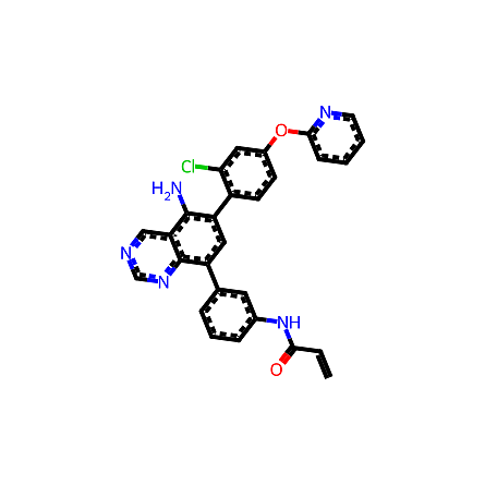 C=CC(=O)Nc1cccc(-c2cc(-c3ccc(Oc4ccccn4)cc3Cl)c(N)c3cncnc23)c1